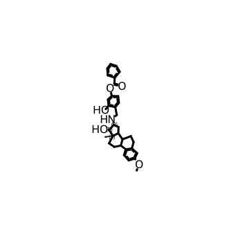 COc1ccc2c(c1)CCC1C2CC[C@@]2(C)C1C[C@@H](NCc1ccc(OC(=O)c3ccccc3)cc1O)[C@@H]2O